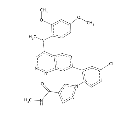 CNC(=O)c1cnn(-c2ccc(Cl)cc2-c2ccc3c(N(C)c4ccc(OC)cc4OC)cnnc3c2)c1